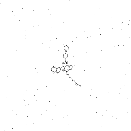 CCCCCCCC(=O)N[C@H](CN1CCCC1)[C@H](OC(=O)N1CCC(N2CCCCC2)CC1)c1ccc2c(c1)OCCO2